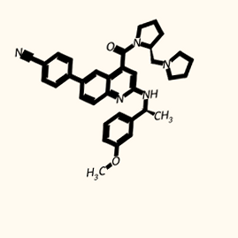 COc1cccc([C@H](C)Nc2cc(C(=O)N3CCC[C@H]3CN3CCCC3)c3cc(-c4ccc(C#N)cc4)ccc3n2)c1